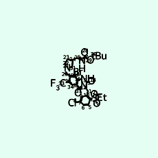 CCS(=O)(=O)c1ccc(Cl)cc1Cn1c(=O)[nH]c2c(Br)c(CN3CC[C@@H](CNC(=O)OC(C)(C)C)C3)c(C(F)(F)F)cc2c1=O